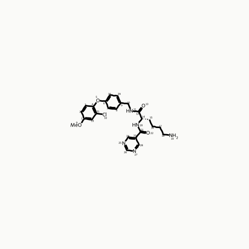 COc1ccc(Oc2ccc(CNC(=O)[C@H](CCCCN)NC(=O)c3cncnc3)cc2)c(Cl)c1